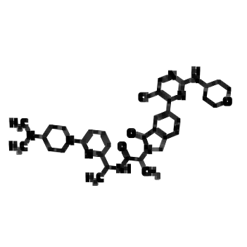 CC(NC(=O)C(C)N1Cc2ccc(-c3nc(NC4CCOCC4)ncc3Cl)cc2C1=O)c1cccc(N2CCC(N(C)C)CC2)n1